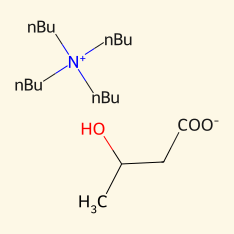 CC(O)CC(=O)[O-].CCCC[N+](CCCC)(CCCC)CCCC